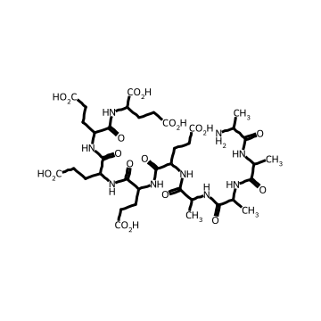 CC(N)C(=O)NC(C)C(=O)NC(C)C(=O)NC(C)C(=O)NC(CCC(=O)O)C(=O)NC(CCC(=O)O)C(=O)NC(CCC(=O)O)C(=O)NC(CCC(=O)O)C(=O)NC(CCC(=O)O)C(=O)O